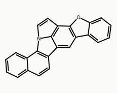 c1ccc2c(c1)ccc1c3cc4c5ccccc5oc4c4ccn(c21)c34